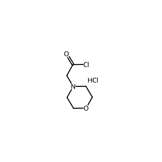 Cl.O=C(Cl)CN1CCOCC1